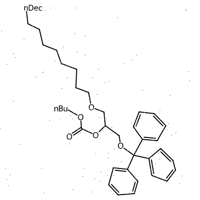 CCCCCCCCCCCCCCCCCCOCC(COC(c1ccccc1)(c1ccccc1)c1ccccc1)OC(=O)OCCCC